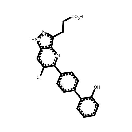 O=C(O)CCc1n[nH]c2cc(Cl)c(-c3ccc(-c4ccccc4O)cc3)nc12